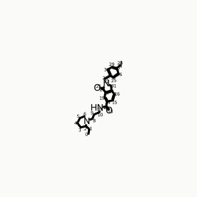 CCC1CCCCN1CCCNC(=O)c1ccc2c(c1)C(=O)N(Cc1ccc(I)cc1)C2